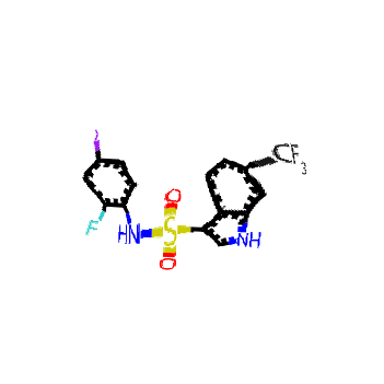 O=S(=O)(Nc1ccc(I)cc1F)c1c[nH]c2cc(C(F)(F)F)ccc12